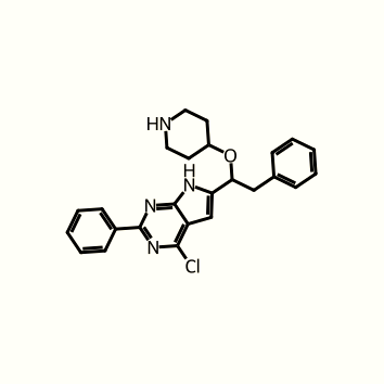 Clc1nc(-c2ccccc2)nc2[nH]c(C(Cc3ccccc3)OC3CCNCC3)cc12